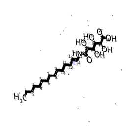 CCCCCCCCCCCCC/C=C/NC(=O)[C@@H](O)[C@H](O)[C@@H](O)[C@@H](O)C(=O)O